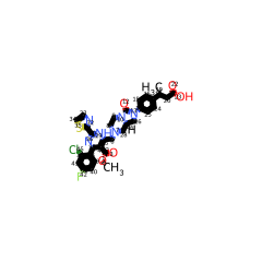 COC(=O)C1=C(CN2CCN3C(=O)N(c4ccc([C@@H](C)CC(=O)O)cc4)C[C@@H]3C2)NC(c2nccs2)=NC1c1ccc(F)cc1Cl